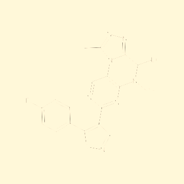 CCC1c2nnc(C)n2-c2cnc(-c3cnsc3-c3ccc(F)cc3)nc2N1C(C)C